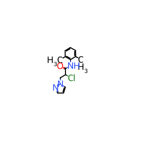 Cc1cccc(C)c1NC(=O)C(Cl)Cn1cccn1